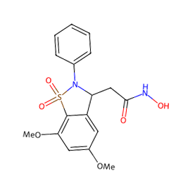 COc1cc(OC)c2c(c1)C(CC(=O)NO)N(c1ccccc1)S2(=O)=O